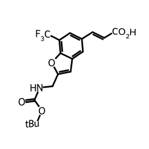 CC(C)(C)OC(=O)NCc1cc2cc(C=CC(=O)O)cc(C(F)(F)F)c2o1